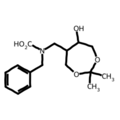 CC1(C)OCC(O)C(CN(Cc2ccccc2)C(=O)O)CO1